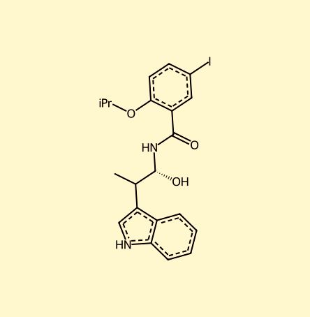 CC(C)Oc1ccc(I)cc1C(=O)N[C@H](O)C(C)c1c[nH]c2ccccc12